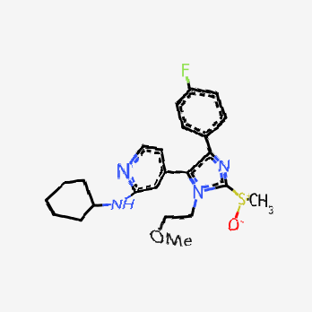 COCCn1c([S+](C)[O-])nc(-c2ccc(F)cc2)c1-c1ccnc(NC2CCCCC2)c1